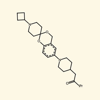 CC(C)C(=O)CC1CCN(c2ccc3c(c2)COC2(CCN(C4CCC4)CC2)O3)CC1